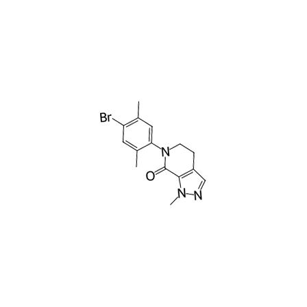 Cc1cc(N2CCc3cnn(C)c3C2=O)c(C)cc1Br